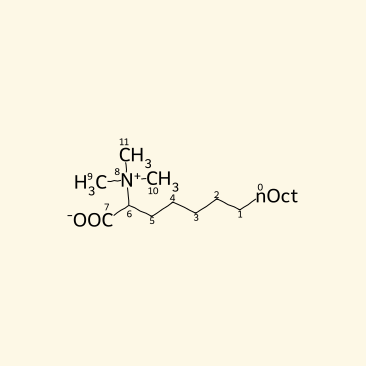 CCCCCCCCCCCCCC(C(=O)[O-])[N+](C)(C)C